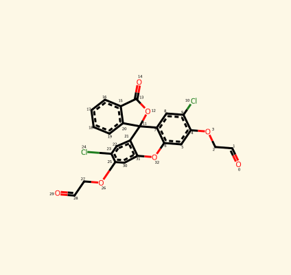 O=CCOc1cc2c(cc1Cl)C1(OC(=O)c3ccccc31)c1cc(Cl)c(OCC=O)cc1O2